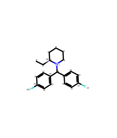 CC[C@H]1CCCCN1C(c1ccc(F)cc1)c1ccc(F)cc1